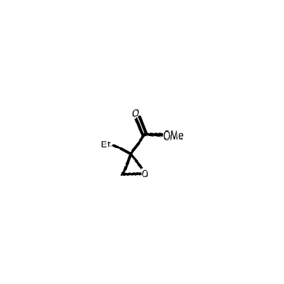 CCC1(C(=O)OC)CO1